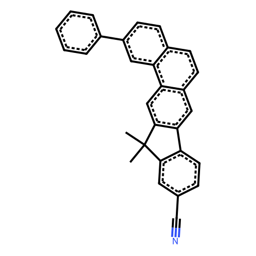 CC1(C)c2cc(C#N)ccc2-c2cc3ccc4ccc(-c5ccccc5)cc4c3cc21